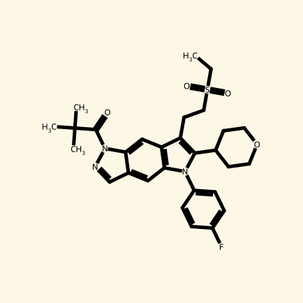 CCS(=O)(=O)CCc1c(C2CCOCC2)n(-c2ccc(F)cc2)c2cc3cnn(C(=O)C(C)(C)C)c3cc12